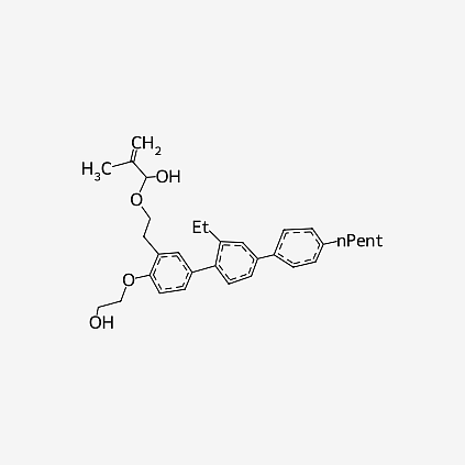 C=C(C)C(O)OCCc1cc(-c2ccc(-c3ccc(CCCCC)cc3)cc2CC)ccc1OCCO